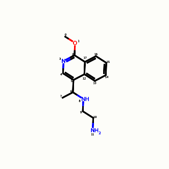 COc1ncc(C(C)NCCN)c2ccccc12